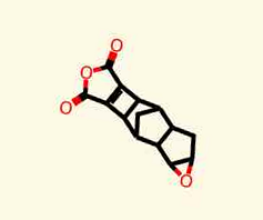 O=C1OC(=O)C2=C1C1C3CC(C21)C1C3CC2OC21